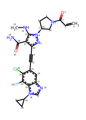 C=CC(=O)N1CC[C@H](n2nc(C#Cc3cc4ncn(C5CC5)c4c(F)c3Cl)c(C(N)=O)c2NC)C1